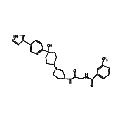 O=C(CNC(=O)c1cccc(C(F)(F)F)c1)N[C@@H]1CCN(C2CCC(O)(c3ccc(-c4cn[nH]c4)cn3)CC2)C1